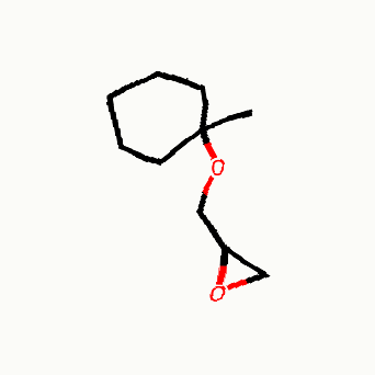 CC1(OCC2CO2)CCCCC1